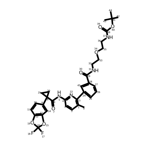 Cc1ccc(NC(=O)C2(c3ccc4c(c3)OC(F)(F)O4)CC2)nc1-c1cccc(C(=O)NCCOCCNC(=O)OC(C)(C)C)c1